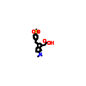 CN(C)c1ccc2c(c1)C(CC(=O)O)=CC2=Cc1ccc(S(C)(=O)=O)cc1